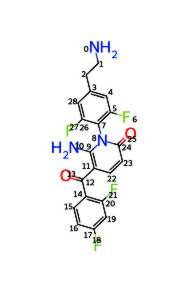 NCCc1cc(F)c(-n2c(N)c(C(=O)c3ccc(F)cc3F)ccc2=O)c(F)c1